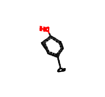 Oc1cc[c]([Co])cc1